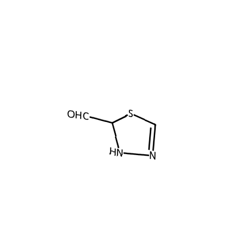 O=CC1NN=CS1